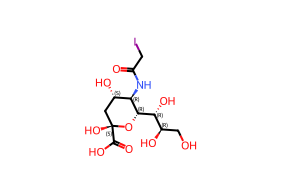 O=C(CI)N[C@H]1[C@H]([C@H](O)[C@H](O)CO)O[C@](O)(C(=O)O)C[C@@H]1O